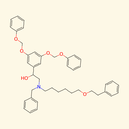 OC(CN(CCCCCCOCCc1ccccc1)Cc1ccccc1)c1cc(OCOc2ccccc2)cc(OCOc2ccccc2)c1